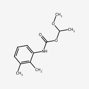 [CH2]c1c(C)cccc1NC(=O)OC(C)OC